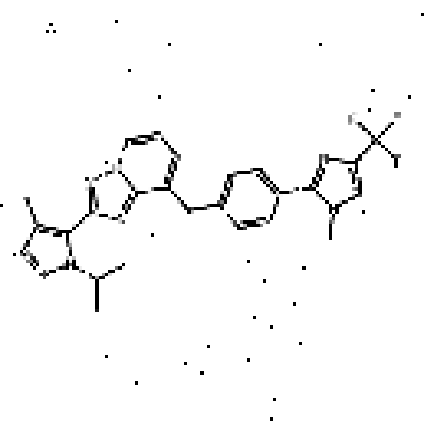 Cc1cnn(C(C)C)c1-c1nc2c(Cc3ccc(-c4nc(C(F)(F)F)cn4C)cc3)cccn2n1